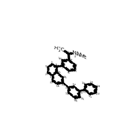 C=C(NC)c1cccc(-c2cccc3ccc(-c4cccc(-c5ccccc5)c4)cc23)c1